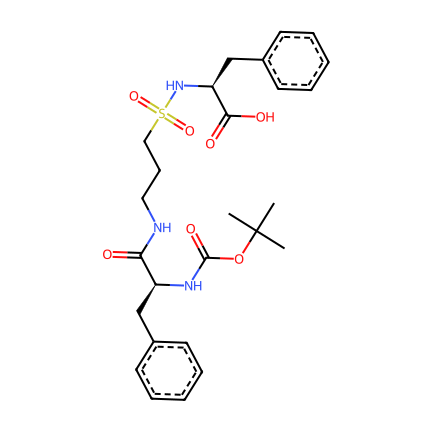 CC(C)(C)OC(=O)N[C@@H](Cc1ccccc1)C(=O)NCCCS(=O)(=O)N[C@@H](Cc1ccccc1)C(=O)O